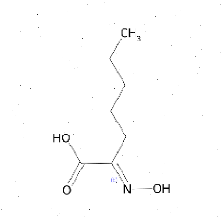 CCCCC/C(=N\O)C(=O)O